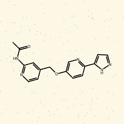 CC(=O)Nc1cc(COc2ccc(-c3ccn[nH]3)nc2)ccn1